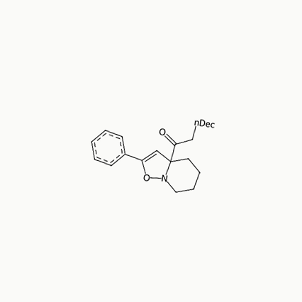 CCCCCCCCCCCC(=O)C12C=C(c3ccccc3)ON1CCCC2